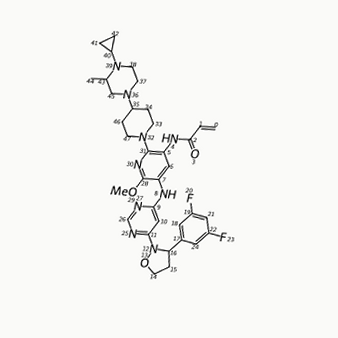 C=CC(=O)Nc1cc(Nc2cc(N3OCCC3c3cc(F)cc(F)c3)ncn2)c(OC)nc1N1CCC(N2CCN(C3CC3)C(C)C2)CC1